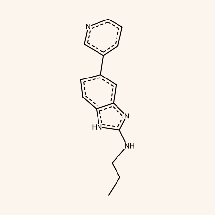 CCCNc1nc2cc(-c3cccnc3)ccc2[nH]1